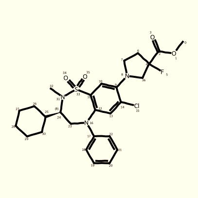 COC(=O)C1(F)CCN(c2cc3c(cc2Cl)N(c2ccccc2)C[C@@H](C2CCCCC2)N(C)S3(=O)=O)C1